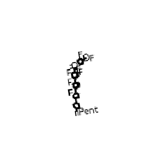 CCCCCC1CCC(c2ccc(-c3ccc(-c4cc(F)c(C(F)(F)Oc5ccc(OCF)c(F)c5)c(F)c4)c(F)c3)c(F)c2)CC1